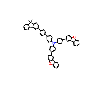 CC1(C)c2ccccc2-c2cc(-c3ccc(-c4ccc(N(c5ccc(-c6ccc7oc8ccccc8c7c6)cc5)c5ccc(-c6ccc7oc8ccccc8c7c6)cc5)cc4)cc3)ccc21